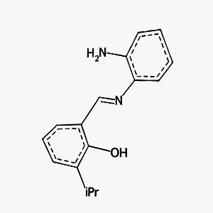 CC(C)c1cccc(C=Nc2ccccc2N)c1O